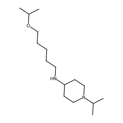 CC(C)OCCCCCNC1CCN(C(C)C)CC1